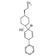 C=CC[C@H]1CC[C@@](O)(C2(Br)C=CC(c3ccccc3)C=C2)CC1